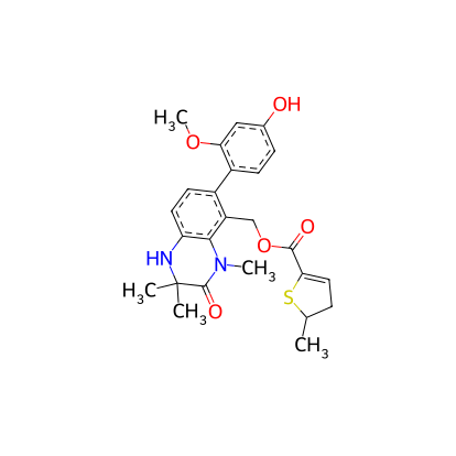 COc1cc(O)ccc1-c1ccc2c(c1COC(=O)C1=CCC(C)S1)N(C)C(=O)C(C)(C)N2